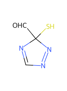 O=CC1(S)N=CN=N1